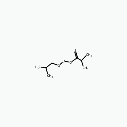 CC(C)COOOC(=O)C(C)C